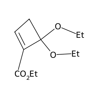 CCOC(=O)C1=CCC1(OCC)OCC